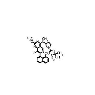 COc1nc(N(C)C2CCN(C(=O)OC(C)(C)C)C2)c2cnc(-c3cccc4cccc(Cl)c34)c(F)c2n1